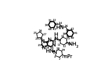 CCCC1CCN(Nc2nc(NC3CCC(N)CC3)nc3c2ncn3C2CCCC2)CC1.c1ccc(CNCc2ccccc2)cc1